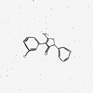 NC1=C(c2cccc(Cl)c2)C(=O)C(c2cccnc2)O1